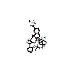 COC(=O)c1ccc2cc(S(=O)(=O)[C@H]3[C@@H]4CC[C@H]3C[C@H](OCc3c(-c5ccccc5OC(F)(F)F)noc3C3CC3)C4)ccc2c1